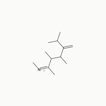 C=C(C(C)C)C(C)C(C)/C(C)=N\C